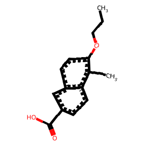 CCCOc1ccc2cc(C(=O)O)ccc2c1C